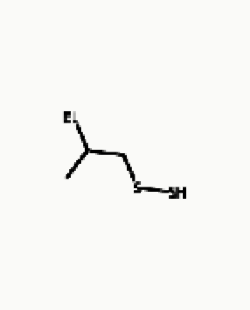 CCC(C)CSS